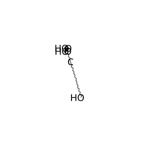 O=P(O)(O)OCCCCCCCCCCCCCCCCCCCCCCCCCCO